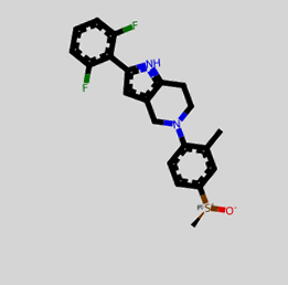 Cc1cc([S@+](C)[O-])ccc1N1CCc2[nH]c(-c3c(F)cccc3F)cc2C1